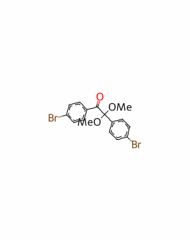 COC(OC)(C(=O)c1ccc(Br)cc1)c1ccc(Br)cc1